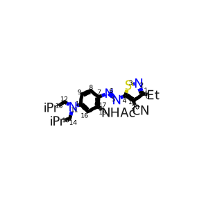 CCc1nsc(N=Nc2ccc(N(CC(C)C)CC(C)C)cc2NC(C)=O)c1C#N